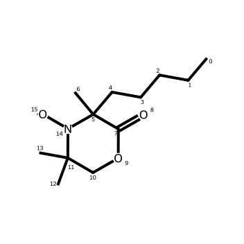 CCCCCC1(C)C(=O)OCC(C)(C)N1[O]